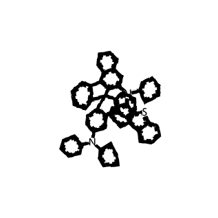 c1ccc(N(c2ccccc2)c2ccc3c(c2)-c2ccccc2C32c3ccccc3-c3c2c(N(c2ccccc2)c2cccc4c2sc2ccccc24)cc2ccccc32)cc1